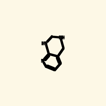 [CH]1NCc2cccnc2N1